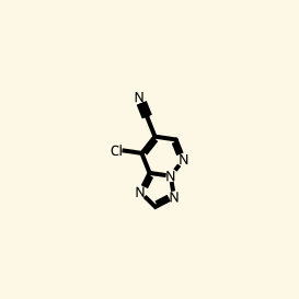 N#Cc1cnn2ncnc2c1Cl